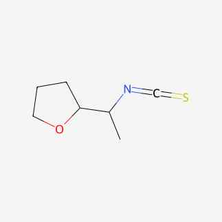 CC(N=C=S)C1CCCO1